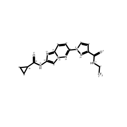 O=C(NCC(F)(F)F)c1ccn(-c2ccc3nc(NC(=O)C4CC4)cn3n2)n1